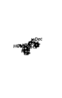 CCCCCCCCCCC[C@H](CC(=O)N[C@H]1[C@@H](OCCO)O[C@@H]2COC(C)(C)O[C@H]2[C@@H]1O)OCc1ccccc1